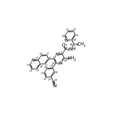 C[C@@H](NC(=O)c1nc(-c2ccc3ncccc3c2)c(-c2cccc(C#N)c2)nc1N)c1ccccn1